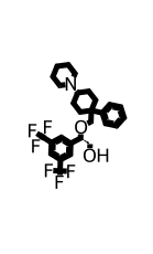 OC[C@@H](OCC1(c2ccccc2)CCC(N2CCCCC2)CC1)c1cc(C(F)(F)F)cc(C(F)(F)F)c1